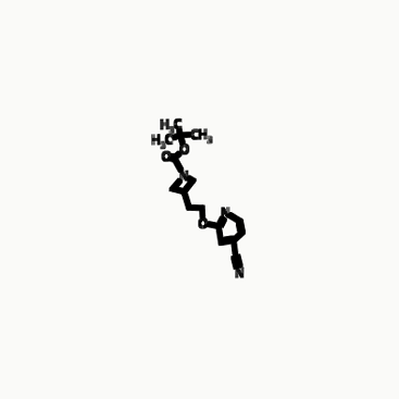 CC(C)(C)OC(=O)N1CC(CCOc2cc(C#N)ccn2)C1